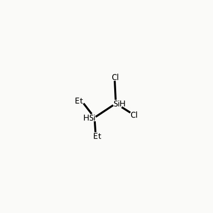 CC[SiH](CC)[SiH](Cl)Cl